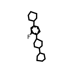 Fc1cc(C2CCCCC2)ccc1C1CCC(C2CCCCC2)CC1